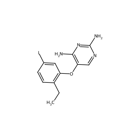 CCc1ccc(I)cc1Oc1cnc(N)nc1N